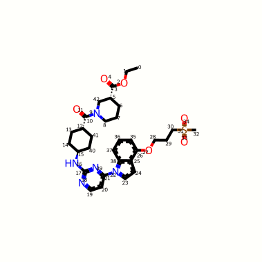 CCOC(=O)[C@@H]1CCCN(C(=O)[C@H]2CC[C@H](Nc3nccc(-n4ccc5c(OCCCS(C)(=O)=O)cccc54)n3)CC2)C1